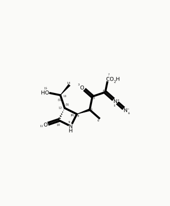 CC(C(=O)C(=[N+]=[N-])C(=O)O)[C@H]1NC(=O)[C@@H]1[C@H](C)O